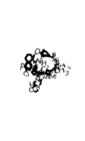 CO[C@@]1(CN2CCN3CCOC[C@H]3C2)C2=C[C@@H](C2)[C@H](C)[C@@H](C)S(=O)(=O)NC(=O)c2ccc3c(c2)N(C[C@@H]2CC[C@]21C)C[C@@]1(CCCc2c1ccc(Cl)c2F)CO3